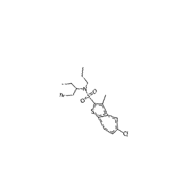 CCCN(C(CC)CBr)S(=O)(=O)c1sc2ccc(Cl)cc2c1C